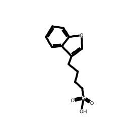 O=S(=O)(O)CCCCc1coc2ccccc12